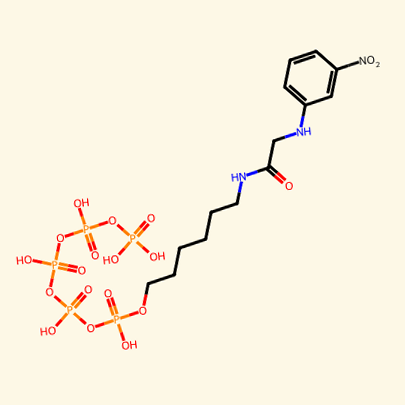 O=C(CNc1cccc([N+](=O)[O-])c1)NCCCCCCOP(=O)(O)OP(=O)(O)OP(=O)(O)OP(=O)(O)OP(=O)(O)O